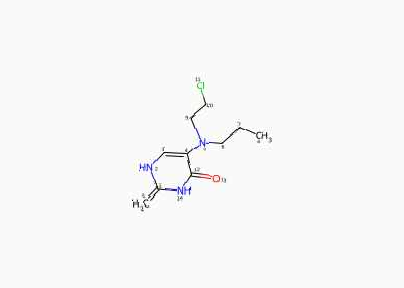 C=C1NC=C(N(CCC)CCCl)C(=O)N1